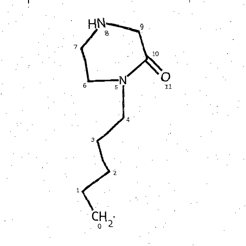 [CH2]CCCCN1CCNCC1=O